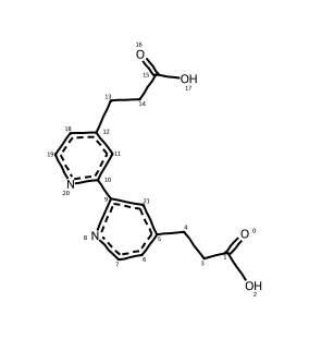 O=C(O)CCc1ccnc(-c2cc(CCC(=O)O)ccn2)c1